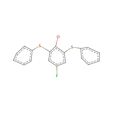 [O]c1c(Sc2ccccc2)cc(F)cc1Sc1ccccc1